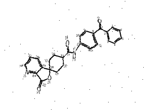 O=C(c1ccccc1)c1ccc(NC(=O)C2CCC3(CC2)OC(=O)c2ncccc23)cc1